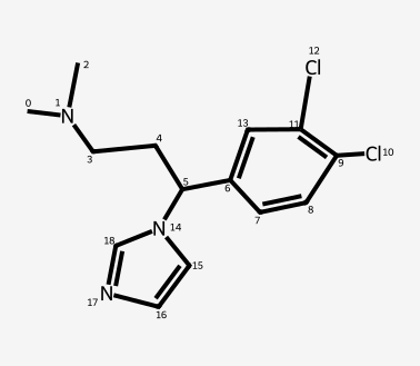 CN(C)CCC(c1ccc(Cl)c(Cl)c1)n1ccnc1